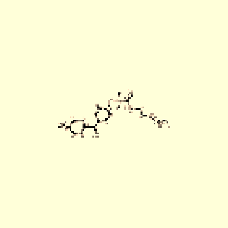 CC(C)(Oc1ccc(C(=O)c2ccc(Cl)cc2)cc1)C(=O)NCCCO[N+](=O)[O-]